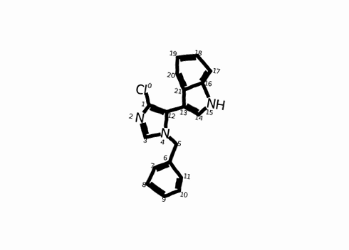 Clc1ncn(Cc2ccccc2)c1-c1c[nH]c2ccccc12